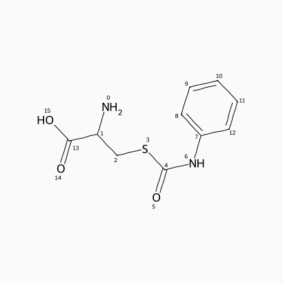 NC(CSC(=O)Nc1ccccc1)C(=O)O